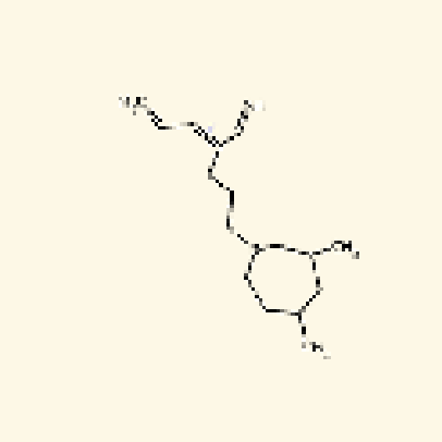 C=C/C=C(/C=N)CCCN1CCC(C)CC(C)C1